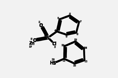 O=S(=O)(Cl)c1ccccc1.Sc1ccccc1.[Zn]